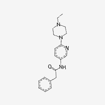 CCN1CCN(c2ccc(NC(=O)Cc3ccccc3)cn2)CC1